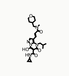 CC(C)Cn1c(=O)c(C(=O)NC2CC2)c(O)n2ncc(C=CC(=O)N(C)CC3CCOCC3)c12